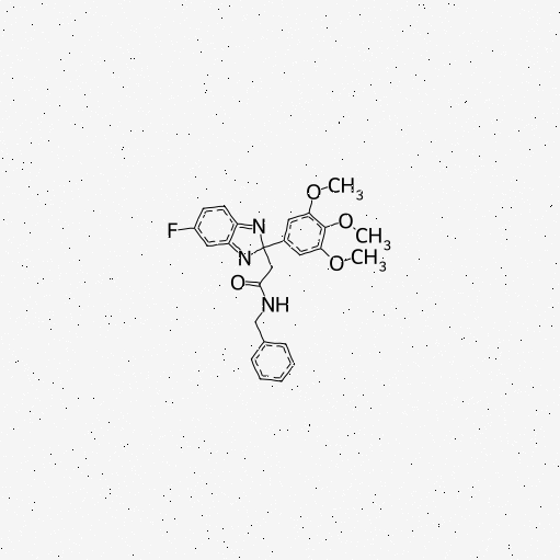 COc1cc(C2(CC(=O)NCc3ccccc3)N=c3ccc(F)cc3=N2)cc(OC)c1OC